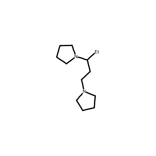 [CH2]CC(CCN1CCCC1)N1CCCC1